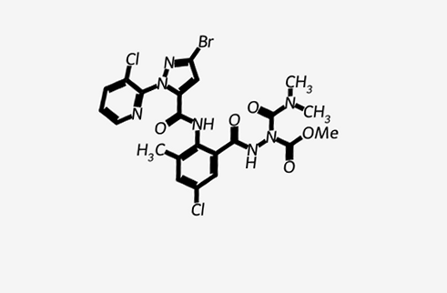 COC(=O)N(NC(=O)c1cc(Cl)cc(C)c1NC(=O)c1cc(Br)nn1-c1ncccc1Cl)C(=O)N(C)C